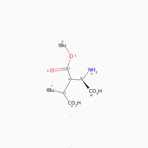 CC(C)(C)OC(=O)C(C(C(=O)O)C(C)(C)C)[C@@H](N)C(=O)O